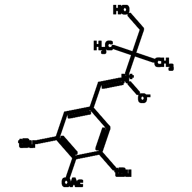 CC(=O)Oc1c(C(C)(C)C)cc(C=[N+]([O-])C(C)(C)CO)cc1C(C)(C)C